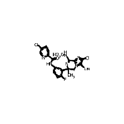 CC1(c2cc(NC(=O)c3ccc(Cl)cn3)ccc2F)Cn2c(nc(Cl)c2C#N)C(NC(=O)O)=N1